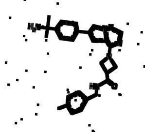 Cc1ccc(CNC(=O)C2CN(c3ncnn4cc(-c5ccc(C(C)(C)N)cc5)cc34)C2)cc1